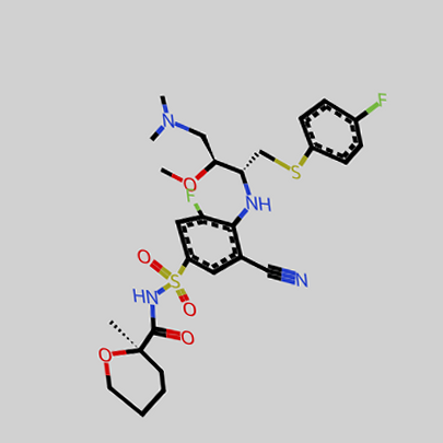 CO[C@@H](CN(C)C)[C@H](CSc1ccc(F)cc1)Nc1c(F)cc(S(=O)(=O)NC(=O)[C@@]2(C)CCCCO2)cc1C#N